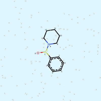 [O-][S+](c1ccccc1)N1CCCCC1